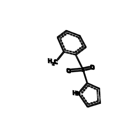 Cc1ccccc1S(=O)(=O)c1ccc[nH]1